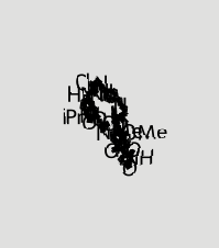 CNC(=O)COc1cc2cc(Nc3nc(N4CCC(CN5CCC6(CC5)CN(c5ccc7c(c5OC)CN(C5CCC(=O)NC5=O)C7=O)C6)CC4)ncc3Cl)ccc2n(C(C)C)c1=O